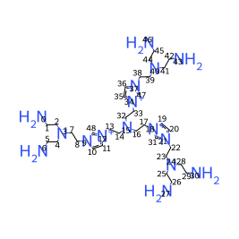 NCCN(CCN)CCn1cc[n+](CCN(CC[n+]2ccn(CCN(CCN)CCN)c2)CC[n+]2ccn(CCN(CCN)CCN)c2)c1